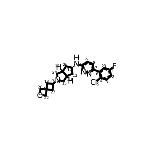 Fc1ccc(Cl)c(-c2ccc(N[C@@H]3C[C@@H]4CN(C5CC6(COC6)C5)C[C@@H]4C3)nn2)c1